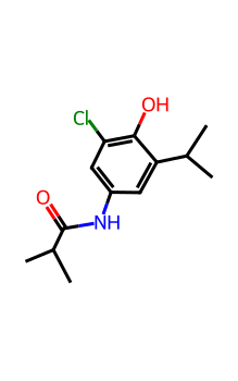 CC(C)C(=O)Nc1cc(Cl)c(O)c(C(C)C)c1